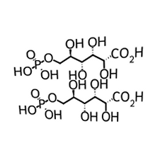 O=C(O)[C@H](O)[C@@H](O)[C@H](O)[C@H](O)COP(=O)(O)O.O=C(O)[C@H](O)[C@@H](O)[C@H](O)[C@H](O)COP(=O)(O)O